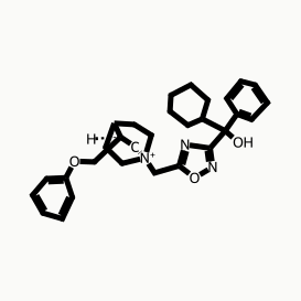 OC(c1ccccc1)(c1noc(C[N+]23CCC(CC2)[C@H](COc2ccccc2)C3)n1)C1CCCCC1